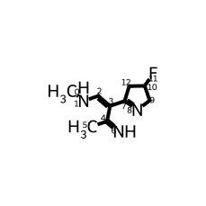 CN/C=C(\C(C)=N)C1=NCC(F)C1